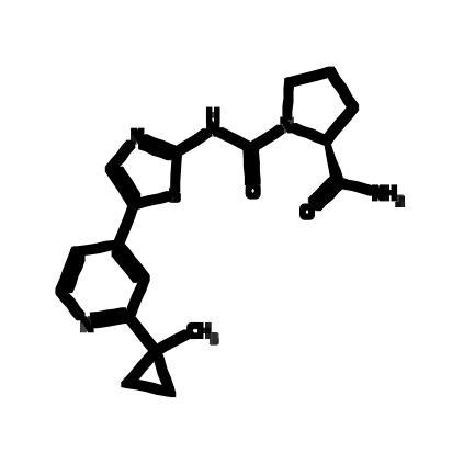 CC1(c2cc(-c3cnc(NC(=O)N4CCC[C@H]4C(N)=O)s3)ccn2)CC1